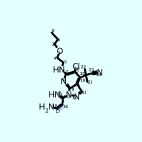 CCCOCCNc1nc2c(cnn2C(=N)/C=C\N)c(C(C)(C)C#N)c1Cl